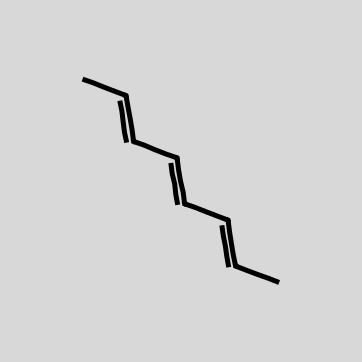 CC=CC=C/C=C/C